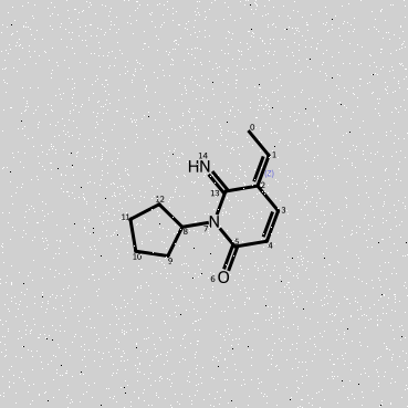 C/C=C1/C=CC(=O)N(C2CCCC2)C1=N